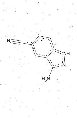 N#Cc1ccc2[nH]nc(N)c2c1